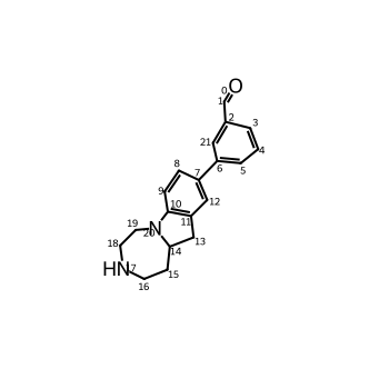 O=Cc1cccc(-c2ccc3c(c2)CC2CCNCCN32)c1